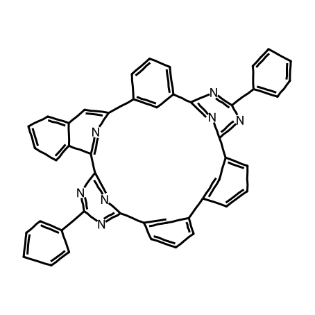 c1ccc(-c2nc3nc(n2)c2cccc(c2)c2cc4ccccc4c(n2)c2nc(-c4ccccc4)nc(n2)c2cccc(c2)c2cccc3c2)cc1